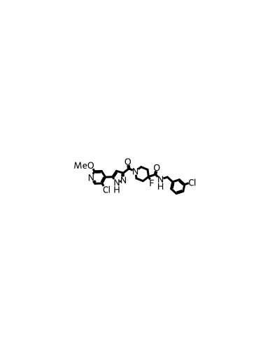 COc1cc(-c2cc(C(=O)N3CCC(F)(C(=O)NCc4cccc(Cl)c4)CC3)n[nH]2)c(Cl)cn1